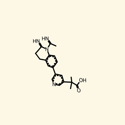 CC(=N)N1C(=N)CCc2cc(-c3cncc(C(C)(C)C(=O)O)c3)ccc21